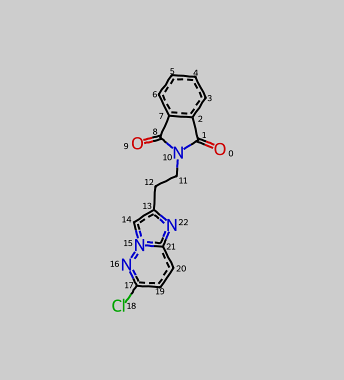 O=C1c2ccccc2C(=O)N1CCc1cn2nc(Cl)ccc2n1